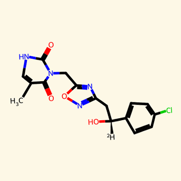 [2H][C@@](O)(Cc1noc(Cn2c(=O)[nH]cc(C)c2=O)n1)c1ccc(Cl)cc1